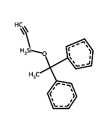 C#C[SiH2]OC(C)(c1ccccc1)c1ccccc1